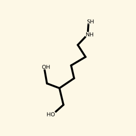 OCC(CO)CCCCNS